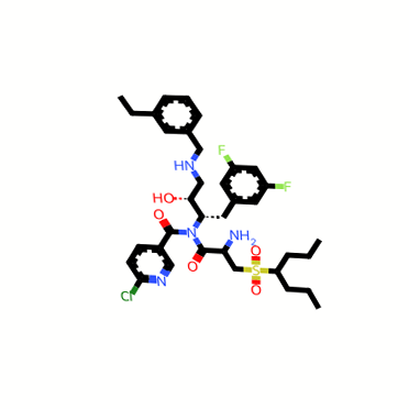 CCCC(CCC)S(=O)(=O)CC(N)C(=O)N(C(=O)c1ccc(Cl)nc1)[C@@H](Cc1cc(F)cc(F)c1)[C@H](O)CNCc1cccc(CC)c1